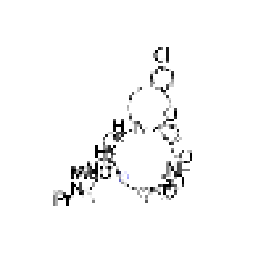 CO[C@]1(CN2CCN(C(C)C)[C@@H](C)C2)/C=C/C[C@H](C)[C@@H](C)S(=O)(=O)NC(=O)c2ccc3c(c2)N(CCCCc2cc(Cl)ccc2CO3)C[C@@H]2CC[C@H]21